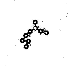 c1ccc(C2=NC(c3ccc4c(c3)sc3cc(-c5ccccc5-c5cccc6oc7ccccc7c56)ccc34)=NC(c3ccc4c(c3)oc3ccccc34)N2)cc1